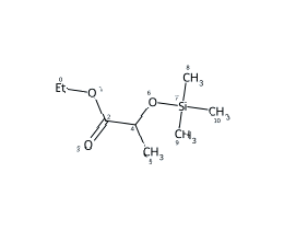 CCOC(=O)C(C)O[Si](C)(C)C